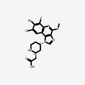 CSc1nc2c(F)c(Br)c(Cl)cc2c2c1ncn2[C@H]1CCN[C@H](CC(=O)O)C1